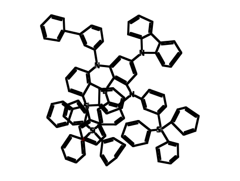 c1ccc(-c2cccc(N3c4cc(-n5c6ccccc6c6ccccc65)cc5c4B(c4cc([Si](c6ccccc6)(c6ccccc6)c6ccccc6)ccc4N5c4cccc([Si](c5ccccc5)(c5ccccc5)c5ccccc5)c4)c4c3cccc4[Si](c3ccccc3)(c3ccccc3)c3ccccc3)c2)cc1